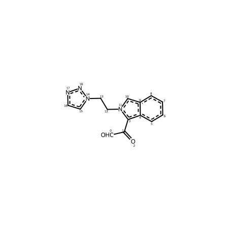 O=CC(=O)c1c2ccccc2cn1CCn1ccnn1